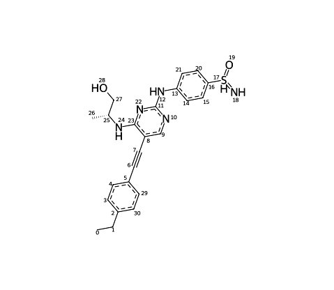 CCc1ccc(C#Cc2cnc(Nc3ccc([SH](=N)=O)cc3)nc2N[C@H](C)CO)cc1